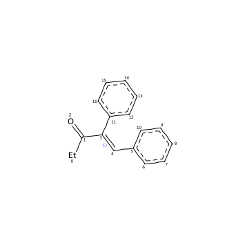 CCC(=O)/C(=C/c1ccccc1)c1ccccc1